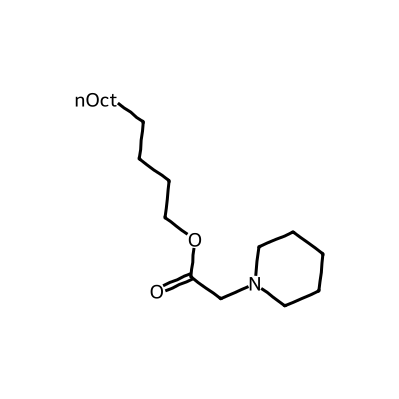 CCCCCCCCCCCCOC(=O)CN1CCCCC1